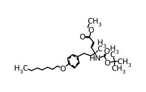 CCCCCCCOc1ccc(CC[C@](C)(/C=C/C(=O)OCC)NC(=O)OC(C)(C)C)cc1